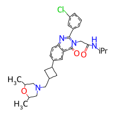 CC(C)NC(=O)Cn1c(-c2cccc(Cl)c2)nc2ccc(C3CC(CN4CC(C)OC(C)C4)C3)cc2c1=O